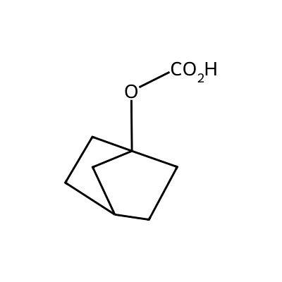 O=C(O)OC12CCC(CC1)C2